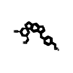 CCc1ccc(Cc2csc3cc4c(cc23)[C@]2(C[C@@H](O)C[C@@H](CO)O2)OC4)cc1